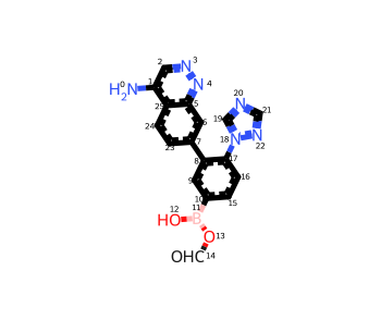 Nc1cnnc2cc(-c3cc(B(O)OC=O)ccc3-n3cncn3)ccc12